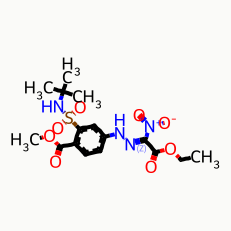 CCOC(=O)/C(=N/Nc1ccc(C(=O)OC)c(S(=O)(=O)NC(C)(C)C)c1)[N+](=O)[O-]